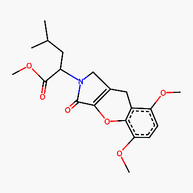 COC(=O)C(CC(C)C)N1CC2=C(Oc3c(OC)ccc(OC)c3C2)C1=O